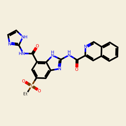 CCS(=O)(=O)c1cc(C(=O)Nc2ncc[nH]2)c2[nH]c(NC(=O)c3cc4ccccc4cn3)nc2c1